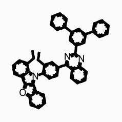 CCc1cc(-c2nc(-c3cc(-c4ccccc4)cc(-c4ccccc4)c3)nc3ccccc23)ccc1-n1c2c(CC)cccc2c2oc3ccccc3c21